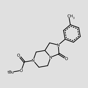 Cc1cccc(N2CC3CN(C(=O)OC(C)(C)C)CCN3C2=O)c1